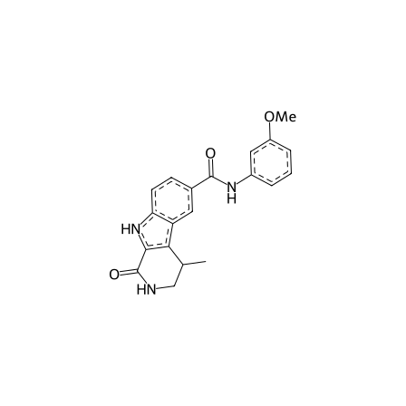 COc1cccc(NC(=O)c2ccc3[nH]c4c(c3c2)C(C)CNC4=O)c1